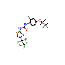 Cc1cc(O[Si](C)(C)C(C)(C)C)ccc1NC(=O)Nc1nc(C(F)(F)C(F)(F)F)cs1